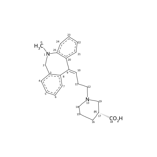 CN1Cc2ccccc2C(=CCCN2CCC[C@@H](C(=O)O)C2)c2ccccc21